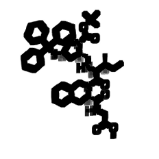 CC[C@H](C)[C@H](NC[C@@H]1C[C@H](SC(c2ccccc2)(c2ccccc2)c2ccccc2)CN1C(=O)OC(C)(C)C)C(=O)N1Cc2ccccc2C[C@H]1C(=O)NCC(=O)OC